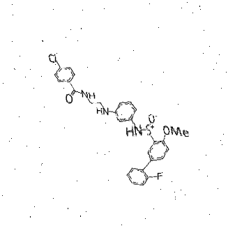 COc1ccc(-c2ccccc2F)cc1[S+]([O-])Nc1cccc(NCCNC(=O)c2ccc(Cl)cc2)c1